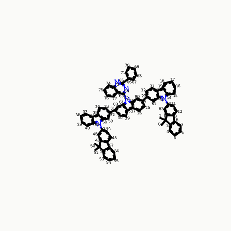 CC1(C)c2ccccc2-c2ccc(-n3c4ccccc4c4ccc(-c5ccc6c7ccc(-c8ccc9c%10ccccc%10n(-c%10ccc%11c(c%10)C(C)(C)c%10ccccc%10-%11)c9c8)cc7n(-c7nc(-c8ccccc8)nc8ccccc78)c6c5)cc43)cc21